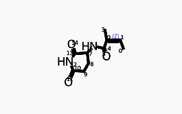 C/C=C(/C)C(=O)NC1CCC(=O)NC1=O